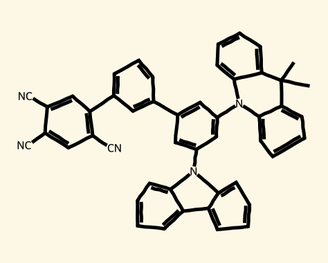 CC1(C)c2ccccc2N(c2cc(-c3cccc(-c4cc(C#N)c(C#N)cc4C#N)c3)cc(-n3c4ccccc4c4ccccc43)c2)c2ccccc21